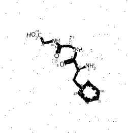 C[C@H](NC(=O)[C@@H](N)Cc1ccccc1)C(=O)NCC(=O)O